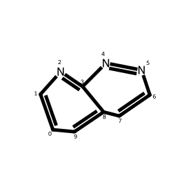 c1cnc2nnccc2c1